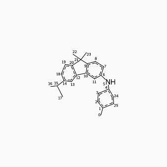 Cc1ccc(Nc2ccc3c(c2)-c2cc(C(C)C)ccc2C3(C)C)cc1